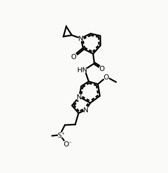 COc1cc2nc(CC[S+](C)[O-])cn2cc1NC(=O)c1cccn(C2CC2)c1=O